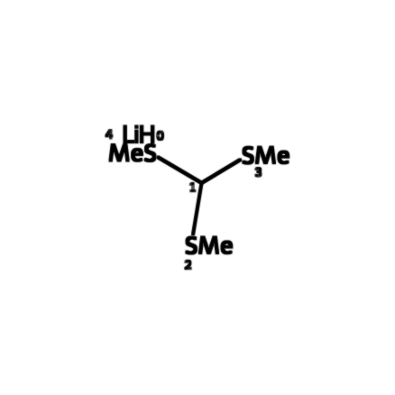 CSC(SC)SC.[LiH]